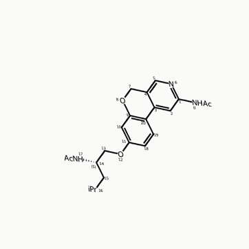 CC(=O)Nc1cc2c(cn1)COc1cc(OC[C@H](CC(C)C)NC(C)=O)ccc1-2